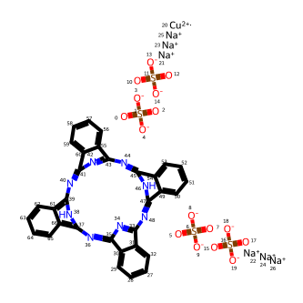 O=S(=O)([O-])[O-].O=S(=O)([O-])[O-].O=S(=O)([O-])[O-].O=S(=O)([O-])[O-].[Cu+2].[Na+].[Na+].[Na+].[Na+].[Na+].[Na+].c1ccc2c(c1)-c1nc-2nc2[nH]c(nc3nc(nc4[nH]c(n1)c1ccccc41)-c1ccccc1-3)c1ccccc21